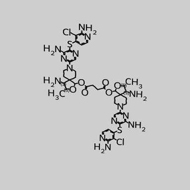 C[C@@H]1OC(OC(=O)CCC(=O)OC2O[C@@H](C)[C@@H](N)C23CCN(c2cnc(Sc4ccnc(N)c4Cl)c(N)n2)CC3)C2(CCN(c3cnc(Sc4ccnc(N)c4Cl)c(N)n3)CC2)[C@@H]1N